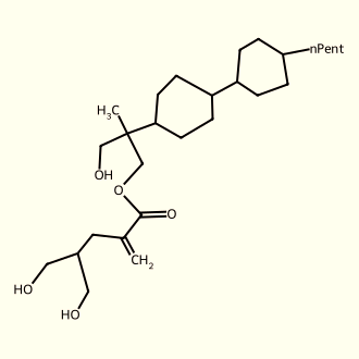 C=C(CC(CO)CO)C(=O)OCC(C)(CO)C1CCC(C2CCC(CCCCC)CC2)CC1